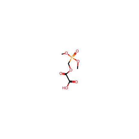 COP(=O)(COC(=O)C(=O)O)OC